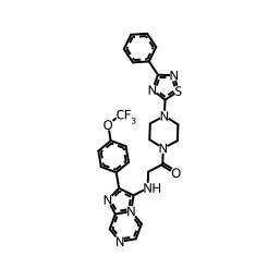 O=C(CNc1c(-c2ccc(OC(F)(F)F)cc2)nc2cnccn12)N1CCN(c2nc(-c3ccccc3)ns2)CC1